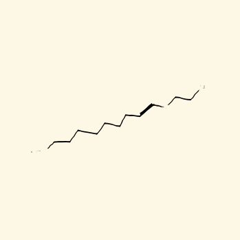 CCCCCCCCCCCCCCC=CNCCN